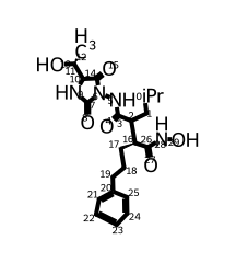 CC(C)CC(C(=O)NN1C(=O)NC([C@@H](C)O)C1=O)[C@H](CCCc1ccccc1)C(=O)NO